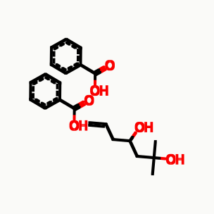 C=CCC(O)CC(C)(C)O.O=C(O)c1ccccc1.O=C(O)c1ccccc1